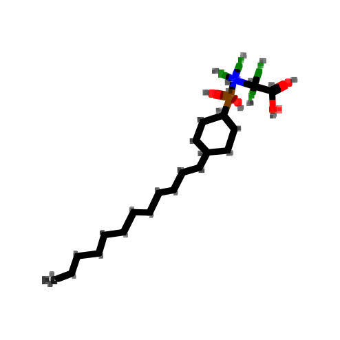 CCCCCCCCCCCCC1CCC(S(=O)(=O)[N+](F)(F)C(F)(F)C(=O)O)CC1